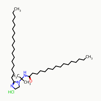 CCCCCCCCCCCCCCCCCCC1=NCCN1C(C)(C)NC(=O)CCCCCCCCCCCCCCC.Cl